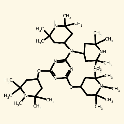 CN1C(C)(C)CC(Oc2nc(OC3CC(C)(C)N(C)C(C)(C)C3)nc(N(C3CC(C)(C)NC(C)(C)C3)C3CC(C)(C)NC(C)(C)C3)n2)CC1(C)C